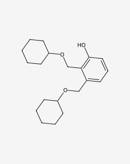 Oc1cccc(COC2CCCCC2)c1COC1CCCCC1